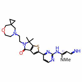 CN/C(=C\C=N)Nc1nccc(-c2cc3c(s2)C(C)(C)N(CCN2CCOCC4(CC4)C2)C3=O)n1